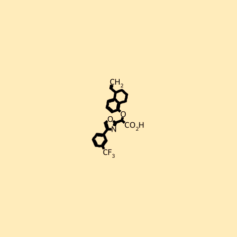 C=CC1CCCc2c(OC(C(=O)O)c3nc(-c4cccc(C(F)(F)F)c4)co3)cccc21